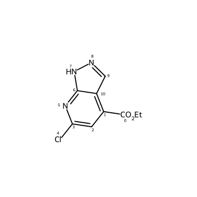 CCOC(=O)c1cc(Cl)nc2[nH]ncc12